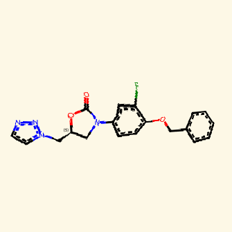 O=C1O[C@H](Cn2ccnn2)CN1c1ccc(OCc2ccccc2)c(F)c1